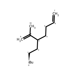 [CH2]C[C@H](C)CCC(CCC=C)C(=C)C